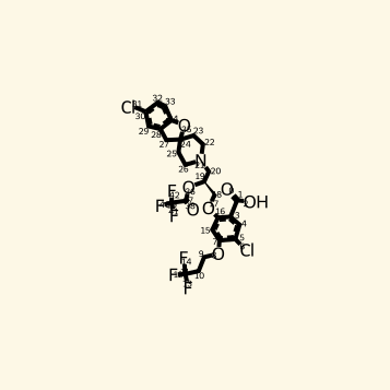 O=C(O)c1cc(Cl)c(OCCC(F)(F)F)cc1OC[C@H](CN1CCC2(CC1)Cc1cc(Cl)ccc1O2)OC(=O)C(F)(F)F